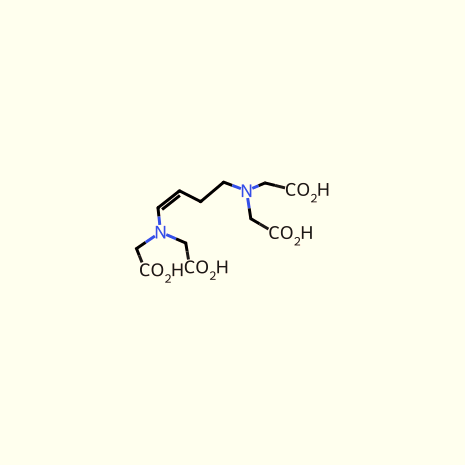 O=C(O)CN(/C=C\CCN(CC(=O)O)CC(=O)O)CC(=O)O